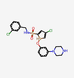 O=S(=O)(NCc1cccc(Cl)c1)C1=CC(Cl)=C[SH]1Oc1cccc(N2CCNCC2)c1